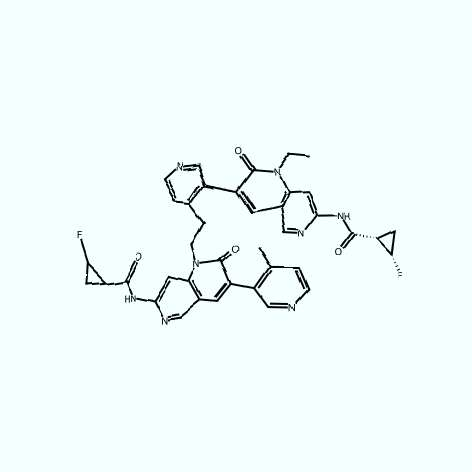 CCn1c(=O)c(-c2cnccc2CCn2c(=O)c(-c3cnccc3C)cc3cnc(NC(=O)C4CC4F)cc32)cc2cnc(NC(=O)[C@@H]3C[C@@H]3F)cc21